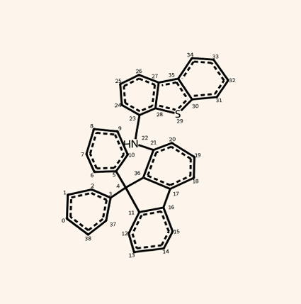 c1ccc(C2(c3ccccc3)c3ccccc3-c3cccc(Nc4cccc5c4sc4ccccc45)c32)cc1